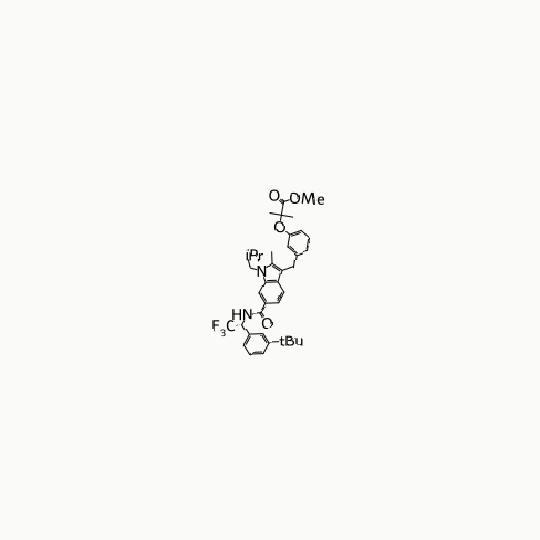 COC(=O)C(C)(C)Oc1cccc(Cc2c(C)n(CC(C)C)c3cc(C(=O)N[C@H](c4cccc(C(C)(C)C)c4)C(F)(F)F)ccc23)c1